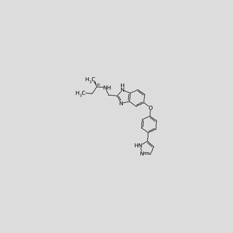 CC[C@@H](C)NCc1nc2cc(Oc3ccc(-c4ccn[nH]4)cc3)ccc2[nH]1